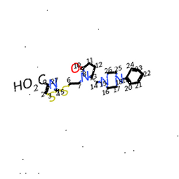 O=C(O)c1csc(SCCN2C(=O)CC[C@@H]2CN2CCN(c3ccccc3)CC2)n1